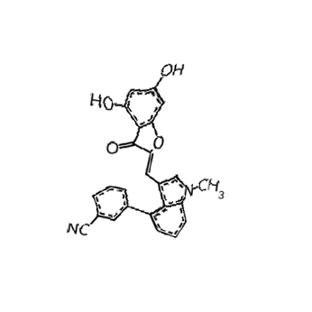 Cn1cc(C=C2Oc3cc(O)cc(O)c3C2=O)c2c(-c3cccc(C#N)c3)cccc21